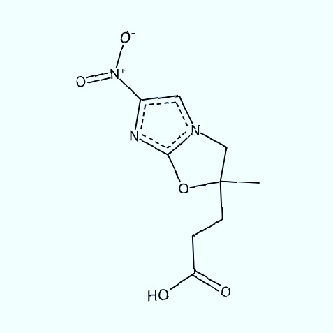 CC1(CCC(=O)O)Cn2cc([N+](=O)[O-])nc2O1